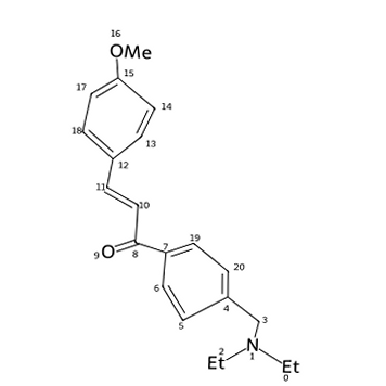 CCN(CC)Cc1ccc(C(=O)C=Cc2ccc(OC)cc2)cc1